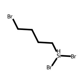 BrCCCC[SiH](Br)Br